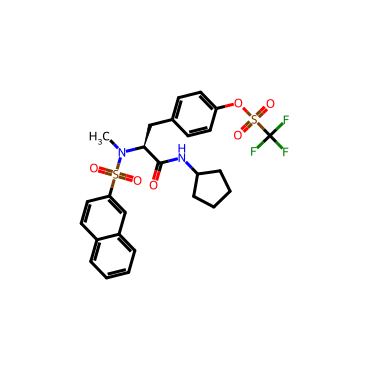 CN([C@@H](Cc1ccc(OS(=O)(=O)C(F)(F)F)cc1)C(=O)NC1CCCC1)S(=O)(=O)c1ccc2ccccc2c1